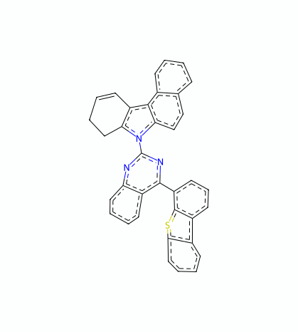 C1=Cc2c(n(-c3nc(-c4cccc5c4sc4ccccc45)c4ccccc4n3)c3ccc4ccccc4c23)CC1